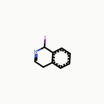 IC1N=CCc2ccccc21